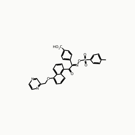 Cc1ccc(S(=O)(=O)O/N=C(/C(=O)c2cccc3c(OCc4cnccn4)cccc23)c2ccc(C(=O)O)cc2)cc1